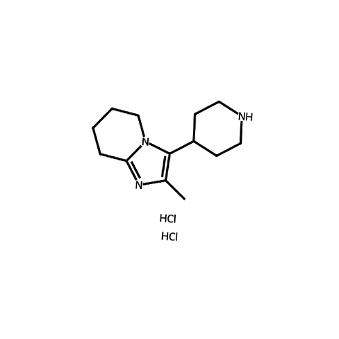 Cc1nc2n(c1C1CCNCC1)CCCC2.Cl.Cl